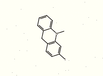 CN1c2ccccc2Cc2ccc(I)cc21